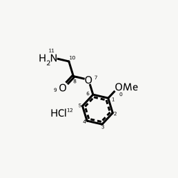 COc1ccccc1OC(=O)CN.Cl